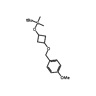 COc1ccc(COC2CC(O[Si](C)(C)C(C)(C)C)C2)cc1